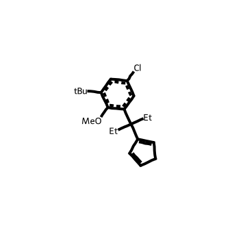 CCC(CC)(C1=CCC=C1)c1cc(Cl)cc(C(C)(C)C)c1OC